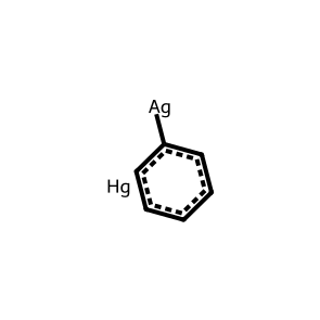 [Ag][c]1ccccc1.[Hg]